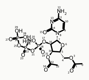 CC(=O)OC[C@H]1O[C@@H](n2ccc(N)nc2=O)[C@H](OP(=O)(O)OP(=O)(O)OP(=O)(O)O)[C@@H]1OC(C)=O